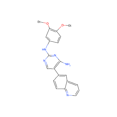 CCOc1ccc(Nc2ncc(-c3ccc4ncccc4c3)c(N)n2)cc1OCC